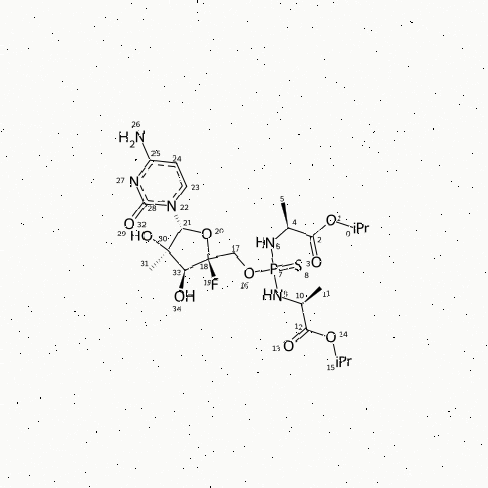 CC(C)OC(=O)[C@H](C)NP(=S)(N[C@@H](C)C(=O)OC(C)C)OC[C@@]1(F)O[C@@H](n2ccc(N)nc2=O)[C@](C)(O)[C@@H]1O